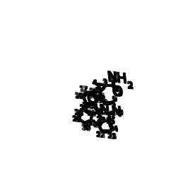 NC(=O)C1CC1C(=O)c1cncn1C(c1ccccc1)(c1ccccc1)c1ccccc1